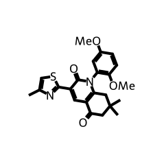 COc1ccc(OC)c(-n2c3c(cc(-c4nc(C)cs4)c2=O)C(=O)CC(C)(C)C3)c1